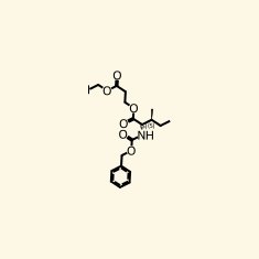 CC[C@H](C)[C@H](NC(=O)OCc1ccccc1)C(=O)OCCC(=O)OCI